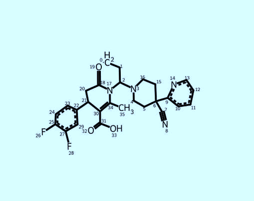 [CH2]CC(N1CCC(C#N)(c2ccccn2)CC1)N1C(=O)CC(c2ccc(F)c(F)c2)C(C(=O)O)=C1C